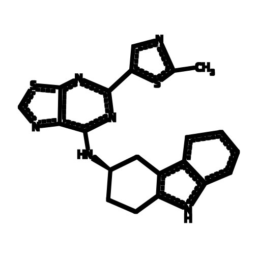 Cc1ncc(-c2nc(N[C@@H]3CCc4[nH]c5ccccc5c4C3)c3ncsc3n2)s1